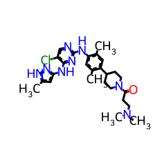 Cc1cc(Nc2nc(Nc3cc(C)c(C4CCN(C(=O)CCN(C)C)CC4)cc3C)ncc2Cl)n[nH]1